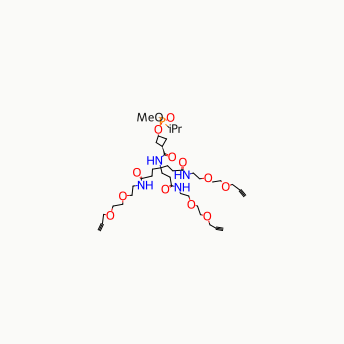 C#CCOCCOCCNC(=O)CCC(CCC(=O)NCCOCCOCC#C)(CCC(=O)NCCOCCOCC#C)NC(=O)[C@H]1C[C@H](OP(=O)(OC)C(C)C)C1